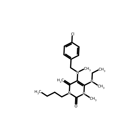 C=C1C(N(C)Cc2ccc(Cl)cc2)=C(N(C)CC)N(C)C(=O)N1CCCC